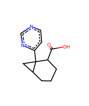 O=C(O)C1CCCC2CC21c1ccn[c]n1